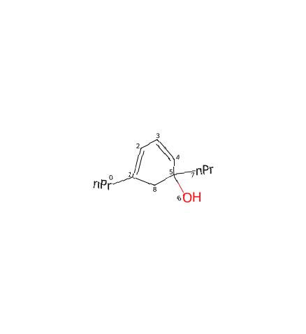 CCCC1=CC=CC(O)(CCC)C1